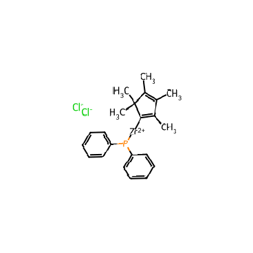 CC1=C(C)C(C)(C)[C]([Zr+2][P](c2ccccc2)c2ccccc2)=C1C.[Cl-].[Cl-]